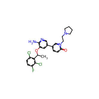 CC(Oc1cc(-c2ccc(=O)n(CCN3CCCC3)c2)cnc1N)c1c(Cl)ccc(F)c1Cl